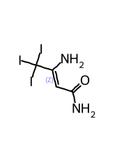 NC(=O)/C=C(\N)C(I)(I)I